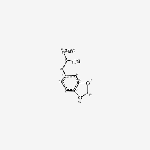 CCCCCC(C#N)Cc1ccc2c(c1)OCO2